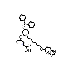 O=C(O)/C=C/C(=O)O.c1ccc(C(OC2CCN(CCCCCCOc3ccc4ncnn4n3)CC2)c2ccccc2)cc1